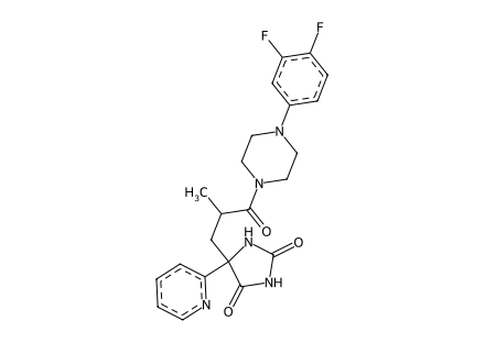 CC(CC1(c2ccccn2)NC(=O)NC1=O)C(=O)N1CCN(c2ccc(F)c(F)c2)CC1